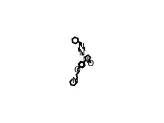 O=C1CC[C@@H](CN2CCN(CC3CCCCC3)CC2)N1c1ccc(OCCCN2CCCCC2)cc1